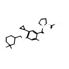 CC1(I)CCCC(COc2cc(F)c(C(=O)N3CCC[C@H]3C(=O)O)cc2C2CC2)C1